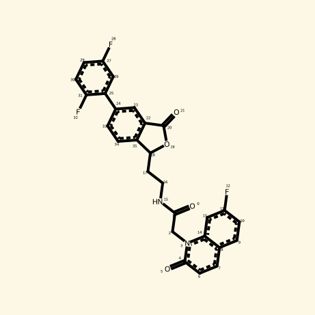 O=C(Cn1c(=O)ccc2ccc(F)cc21)NCCC1OC(=O)c2cc(-c3cc(F)ccc3F)ccc21